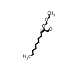 CCCCCCCC/C=C(\C=O)OCOCC